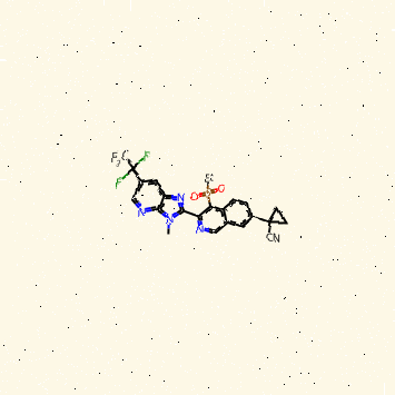 CCS(=O)(=O)c1c(-c2nc3cc(C(F)(F)C(F)(F)F)cnc3n2C)ncc2cc(C3(C#N)CC3)ccc12